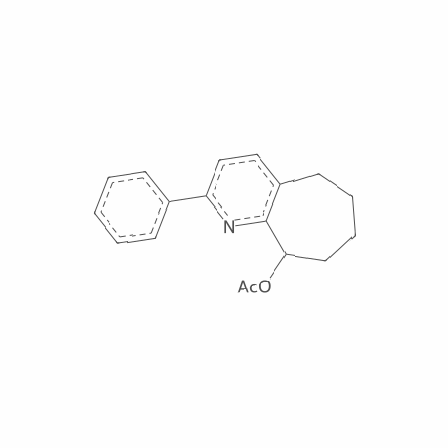 CC(=O)OC1CCCCc2ccc(-c3ccccc3)nc21